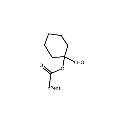 CCCCCC(=O)OC1(C=O)CCCCC1